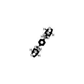 O[C@@H]1C2OB(c3ccc(B4OC5[C@@H]6OC[C@@H](O6)C(O4)[C@@H]5O)cc3)OC1[C@H]1CO[C@@H]2O1